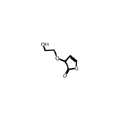 O=C1OC=CC1OCCO